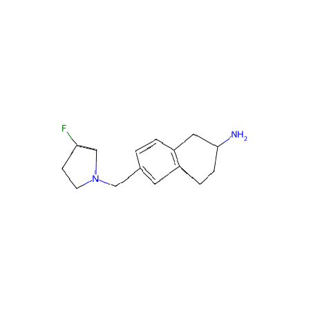 NC1CCc2cc(CN3CCC(F)C3)ccc2C1